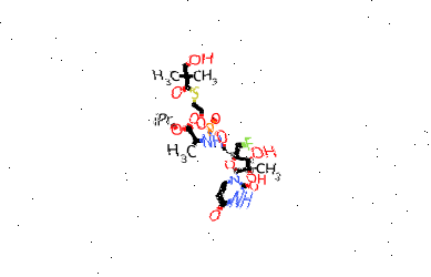 CC(C)OC(=O)C(C)NP(=O)(OCCSC(=O)C(C)(C)CO)OC[C@@]1(CF)O[C@@H](n2ccc(=O)[nH]c2=O)[C@](C)(O)[C@@H]1O